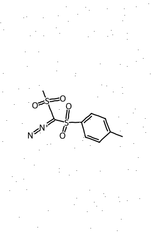 Cc1ccc(S(=O)(=O)C(=[N+]=[N-])S(C)(=O)=O)cc1